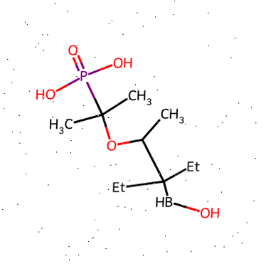 CCC(BO)(CC)C(C)OC(C)(C)P(=O)(O)O